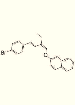 CCC(C=Cc1ccc(Br)cc1)=COc1ccc2ccccc2c1